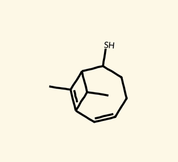 CC1=C2C=CCCC(S)C1C2C